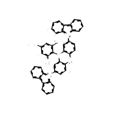 CC(C)c1cc(C(C)C)c(B2c3cc(-n4c5ccccc5c5ccccc54)ccc3Sc3ccc(-n4c5ccccc5c5ccccc54)cc32)c(C(C)C)c1